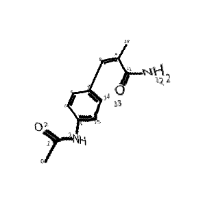 CC(=O)Nc1ccc(C=C(C)C(N)=O)cc1